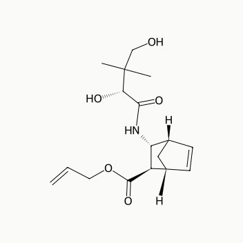 C=CCOC(=O)[C@H]1[C@H](NC(=O)[C@H](O)C(C)(C)CO)[C@@H]2C=C[C@H]1C2